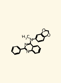 CN(c1ccc2c(c1)OCO2)c1nc(-c2ccccc2)nc2ccccc12